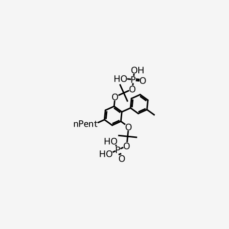 CCCCCc1cc(OC(C)(C)OP(=O)(O)O)c(-c2cccc(C)c2)c(OC(C)(C)OP(=O)(O)O)c1